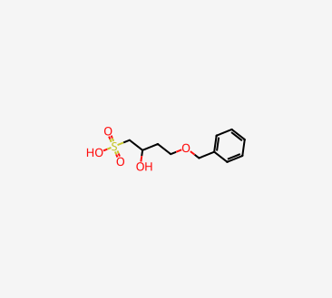 O=S(=O)(O)CC(O)CCOCc1ccccc1